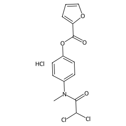 CN(C(=O)C(Cl)Cl)c1ccc(OC(=O)c2ccco2)cc1.Cl